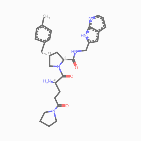 Cc1ccc(C[C@@H]2C[C@@H](C(=O)NCc3cc4cccnc4[nH]3)N(C(=O)[C@H](N)CCC(=O)N3CCCC3)C2)cc1